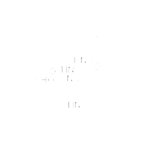 O=C(Nc1cc(C2CCNC2)n[nH]1)c1ccccc1.O=COCc1ccccc1